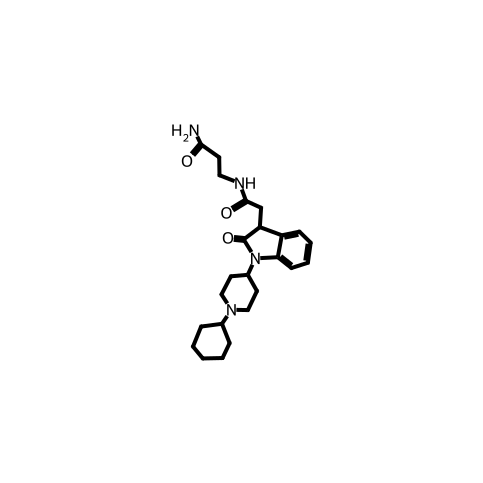 NC(=O)CCNC(=O)CC1C(=O)N(C2CCN(C3CCCCC3)CC2)c2ccccc21